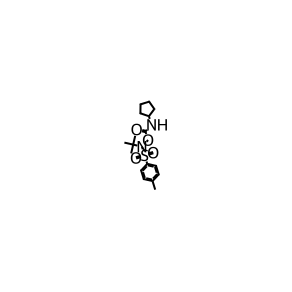 Cc1ccc(S(=O)(=O)N(OC(=O)NC2CCCC2)C(C)(C)C)cc1